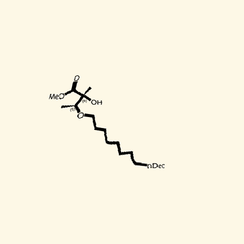 CCCCCCCCCCCCCCCCCCO[C@@H](C)[C@@](C)(O)C(=O)OC